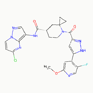 COc1cc(-c2cc(C(=O)N3CC[C@H](C(=O)Nc4cnn5ccc(Cl)nc45)CC34CC4)n[nH]2)c(F)cn1